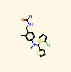 CCC(=O)NCc1ccc(N(C)C(c2cccs2)[SH]2C=CC=C2Cl)cc1C